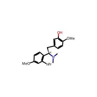 CCCc1cc(OC)ccc1[C@@H](Cc1ccc(OC)c(O)c1)N(C)C